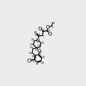 CCOC(=O)C(=O)CC(=S)N1CCC2(CCc3c(Cl)cccc3O2)CC1